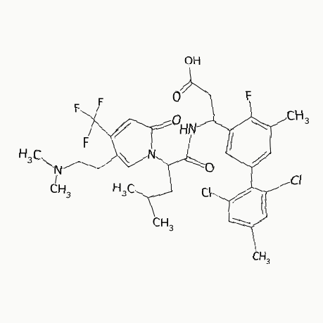 Cc1cc(Cl)c(-c2cc(C)c(F)c(C(CC(=O)O)NC(=O)C(CC(C)C)n3cc(CCN(C)C)c(C(F)(F)F)cc3=O)c2)c(Cl)c1